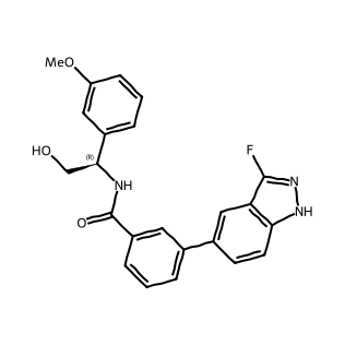 COc1cccc([C@H](CO)NC(=O)c2cccc(-c3ccc4[nH]nc(F)c4c3)c2)c1